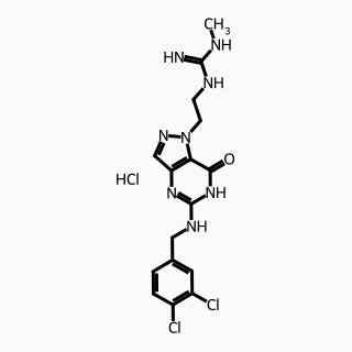 CNC(=N)NCCn1ncc2nc(NCc3ccc(Cl)c(Cl)c3)[nH]c(=O)c21.Cl